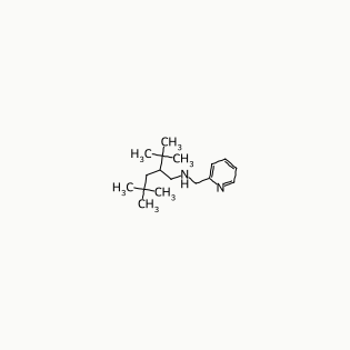 CC(C)(C)CC(CNCc1ccccn1)C(C)(C)C